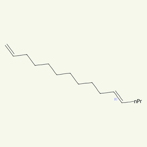 [CH2]CC/C=C/CCCCCCCCC=C